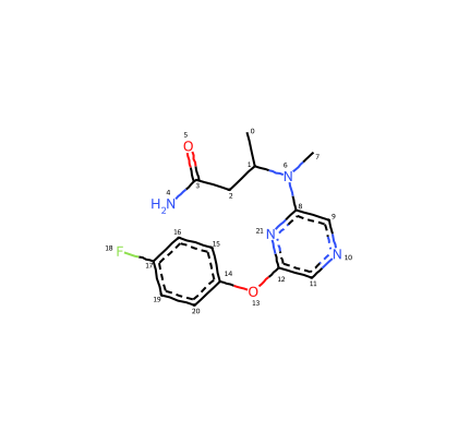 CC(CC(N)=O)N(C)c1cncc(Oc2ccc(F)cc2)n1